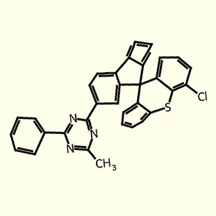 Cc1nc(-c2ccccc2)nc(-c2ccc3c(c2)C2(c4ccccc4Sc4c(Cl)cccc42)c2ccccc2-3)n1